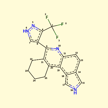 FC(F)(F)c1n[nH]cc1-c1nc2ccc3c[nH]cc3c2c2c1CCCC2